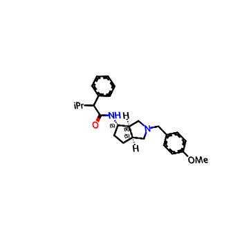 COc1ccc(CN2C[C@H]3CC[C@H](NC(=O)C(c4ccccc4)C(C)C)[C@H]3C2)cc1